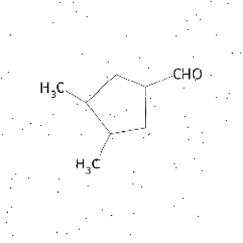 CC1CC(C=O)CC1C